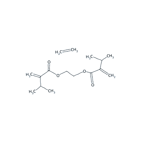 C=C.C=C(C(=O)OCCOC(=O)C(=C)C(C)C)C(C)C